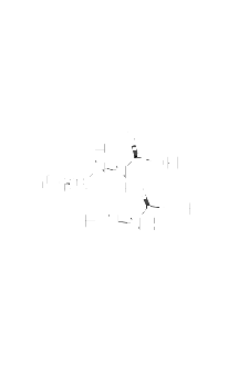 CCCCCNNC(O)=S.NNC(O)=S.[KH]